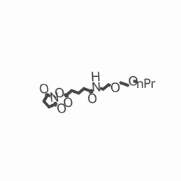 CCCOCCOCCNC(=O)CCCC(=O)ON1C(=O)CCC1=O